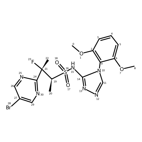 COc1cccc(OC)c1-n1cnnc1NS(=O)(=O)[C@@H](C)[C@@](C)(F)c1ncc(Br)cn1